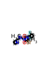 Cc1c(Br)c(=O)n(CCN(C)CCc2ccccn2)c(=O)n1Cc1c(F)cccc1F